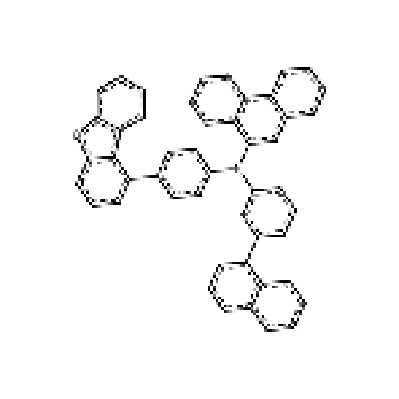 c1cc(-c2cccc3ccccc23)cc(N(c2ccc(-c3cccc4oc5ccccc5c34)cc2)c2cc3ccccc3c3ccccc23)c1